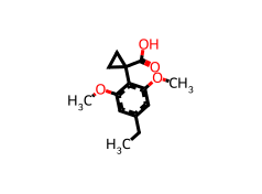 CCc1cc(OC)c(C2(C(=O)O)CC2)c(OC)c1